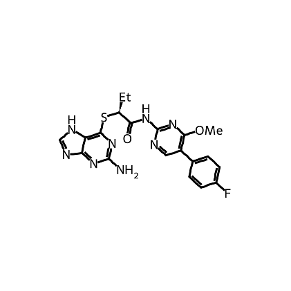 CC[C@H](Sc1nc(N)nc2nc[nH]c12)C(=O)Nc1ncc(-c2ccc(F)cc2)c(OC)n1